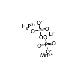 O=P([O-])([O-])[O-].O=P([O-])([O-])[O-].[Li+].[Mn+2].[PH6+3]